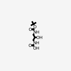 CC(C)(C)OC(=O)NCC(O)CNC(=O)O